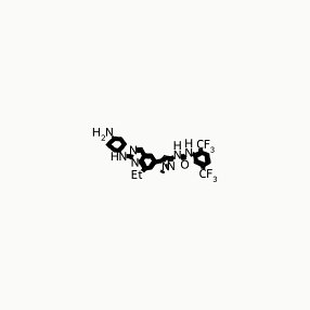 CCc1cc(-c2cc(NC(=O)Nc3cc(C(F)(F)F)ccc3C(F)(F)F)nn2C)cc2cnc(N[C@H]3CC[C@H](N)CC3)nc12